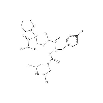 CCC1CN(C(=O)N[C@H](Cc2ccc(F)cc2)C(=O)N2CCC(C(=O)N(C(C)C)C(C)C)(C3CCCCC3)CC2)CC(CC)N1